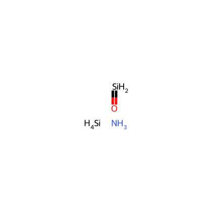 N.O=[SiH2].[SiH4]